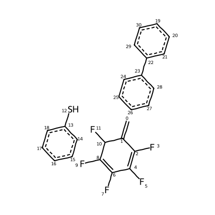 C=C1C(F)=C(F)C(F)=C(F)C1F.Sc1ccccc1.c1ccc(-c2ccccc2)cc1